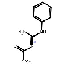 CNC(=O)/N=C(\N)Nc1ccccc1